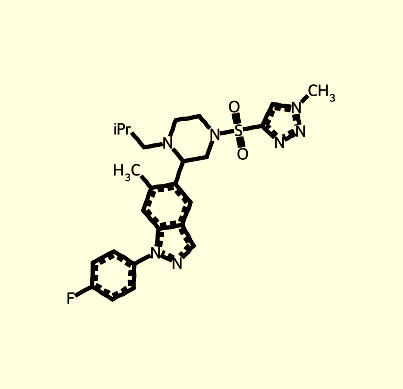 Cc1cc2c(cnn2-c2ccc(F)cc2)cc1C1CN(S(=O)(=O)c2cn(C)nn2)CCN1CC(C)C